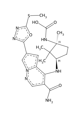 CSc1nnc(-c2cc3c(N[C@@H]4CC[C@](C)(NC(=O)O)C4(C)C)c(C(N)=O)cnn3c2)o1